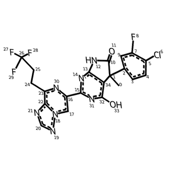 CC1(c2ccc(Cl)c(F)c2)C(=O)Nc2nc(-c3cn4ncnc4c(CCC(F)(F)F)n3)nc(O)c21